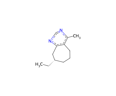 CC[C@H]1CCCc2c(C)ncnc2C1